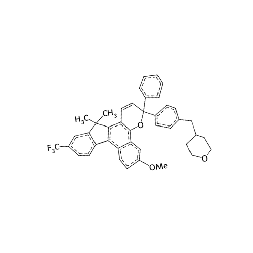 COc1ccc2c3c(c4c(c2c1)OC(c1ccccc1)(c1ccc(CC2CCOCC2)cc1)C=C4)C(C)(C)c1cc(C(F)(F)F)ccc1-3